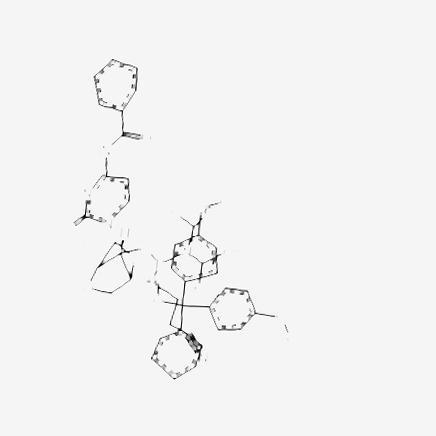 COc1ccc(C(OC[C@@]23CO[C@@H]([C@H](n4ccc(NC(=O)c5ccccc5)nc4=O)O2)[C@@H]3OP(OCCC#N)N(C(C)C)C(C)C)(c2ccccc2)c2ccc(OC)cc2)cc1